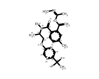 C=C(O/C(C)=N\C)c1cc(C)ccc1C(=O)N(CC)C(C)COc1cnc(C(C)(F)F)cn1